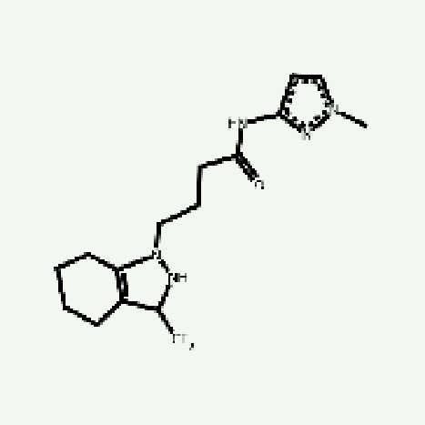 Cn1ccc(NC(=O)CCCN2NC(C(F)(F)F)C3=C2CCCC3)n1